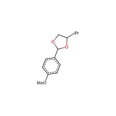 COc1ccc(C2OCC(C(C)C)O2)cc1